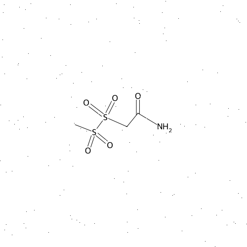 CS(=O)(=O)S(=O)(=O)CC(N)=O